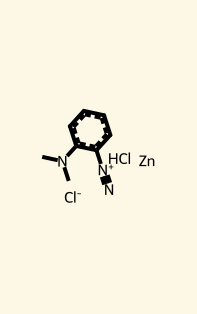 CN(C)c1ccccc1[N+]#N.Cl.[Cl-].[Zn]